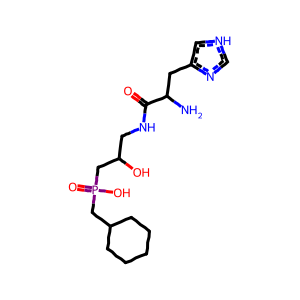 NC(Cc1c[nH]cn1)C(=O)NCC(O)CP(=O)(O)CC1CCCCC1